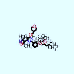 Cc1noc(C)c1-c1nc(-c2cccc(OCC([CH]C(C)(C)C)O[Si](C)(C)C(C)(C)C)c2)nc(OCC2CCOCC2)c1C